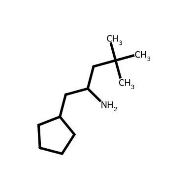 CC(C)(C)CC(N)CC1CCCC1